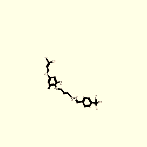 Cc1cc(OCC=C(Cl)Cl)cc(Cl)c1OCCCON=Cc1ccc(C(F)(F)F)cc1